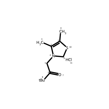 CC1=C(C)N(CC(=O)C(C)(C)C)CS1.Cl